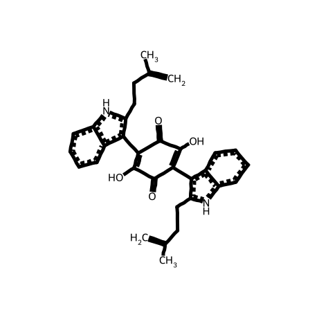 C=C(C)CCc1[nH]c2ccccc2c1C1=C(O)C(=O)C(c2c(CCC(=C)C)[nH]c3ccccc23)=C(O)C1=O